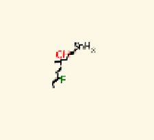 C/C=C(F)/C=C/C(C)(O)C/C=[CH]/[SnH3]